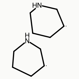 [CH]1CCCNC1.[CH]1CCCNC1